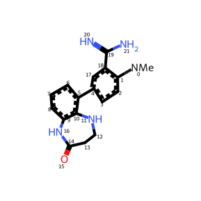 CNc1ccc(-c2cccc3c2NCCC(=O)N3)cc1C(=N)N